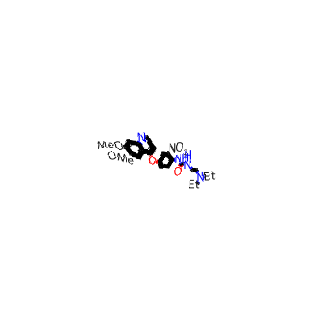 CCN(CC)CCNC(=O)Nc1ccc(Oc2ccnc3cc(OC)c(OC)cc23)cc1[N+](=O)[O-]